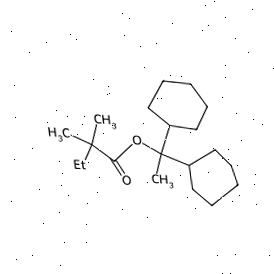 CCC(C)(C)C(=O)OC(C)(C1CCCCC1)C1CCCCC1